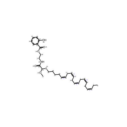 CC/C=C\C/C=C\C/C=C\C/C=C\C/C=C\CCCCSC(OC)C(=O)NCCOC(=O)c1ccccc1O